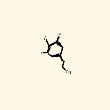 N#CCCc1cc(F)c(F)c(F)c1